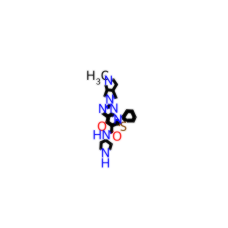 CN1CCC2CN(c3ncc4c(=O)c(C(=O)NC5CCNCC5)c5sc6ccccc6n5c4n3)CC2C1